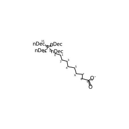 CCCCCCCCCC(=O)[O-].CCCCCCCCCC[P+](CCCCCCCCCC)(CCCCCCCCCC)CCCCCCCCCC